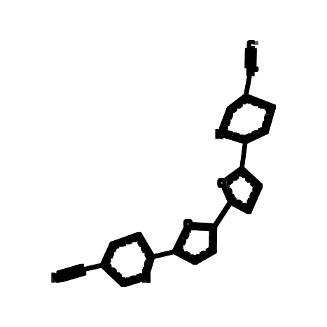 [C-]#[N+]c1ccc(-c2ccc(-c3ccc(-c4ccc(C#N)cn4)o3)o2)nc1